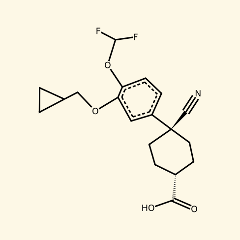 N#C[C@]1(c2ccc(OC(F)F)c(OCC3CC3)c2)CC[C@@H](C(=O)O)CC1